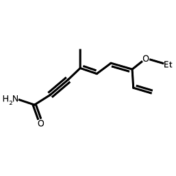 C=C/C(=C\C=C(/C)C#CC(N)=O)OCC